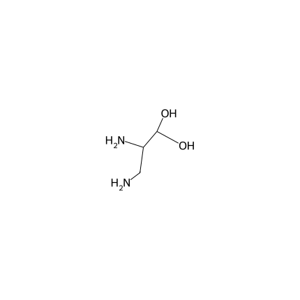 NCC(N)C(O)O